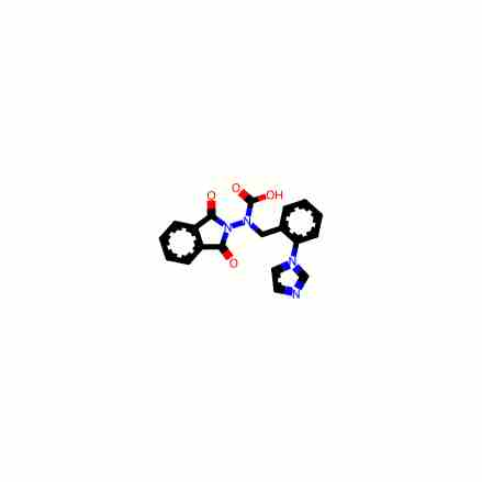 O=C(O)N(Cc1ccccc1-n1ccnc1)N1C(=O)c2ccccc2C1=O